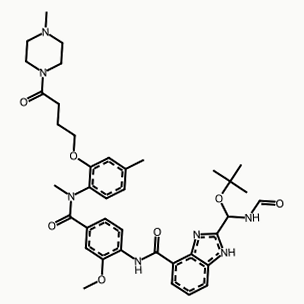 COc1cc(C(=O)N(C)c2ccc(C)cc2OCCCC(=O)N2CCN(C)CC2)ccc1NC(=O)c1cccc2[nH]c(C(NC=O)OC(C)(C)C)nc12